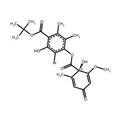 COC1=CC(=O)C=C(C)[C@]1(O)C(=O)Oc1c(C)c(C)c(C(=O)OC(C)(C)C)c(O)c1Br